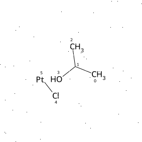 CC(C)O.[Cl][Pt]